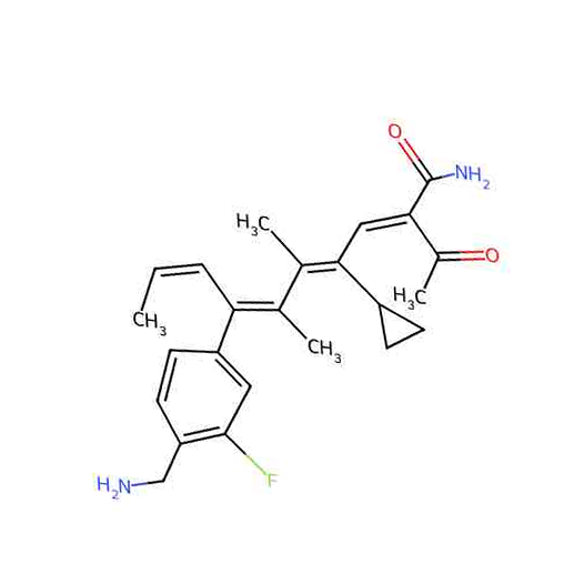 C\C=C/C(=C(C)\C(C)=C(\C=C(/C(C)=O)C(N)=O)C1CC1)c1ccc(CN)c(F)c1